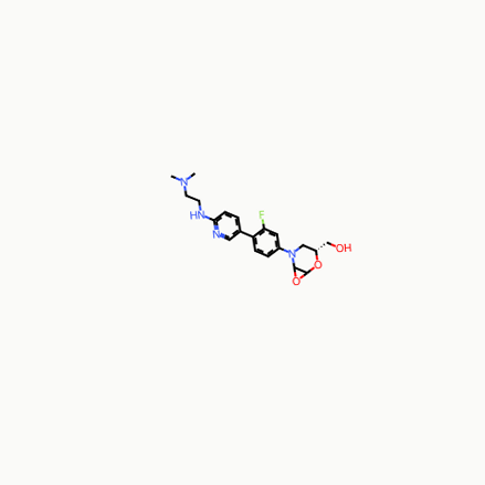 CN(C)CCNc1ccc(-c2ccc(N3C[C@H](CO)OC4OC43)cc2F)cn1